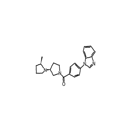 C[C@@H]1CCCN1[C@H]1CCN(C(=O)c2ccc(-n3cnc4ccccc43)cc2)C1